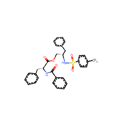 O=C(N[C@H](Cc1ccccc1)C(=O)OC[C@H](Cc1ccccc1)NS(=O)(=O)c1ccc(C(F)(F)F)cc1)c1ccccc1